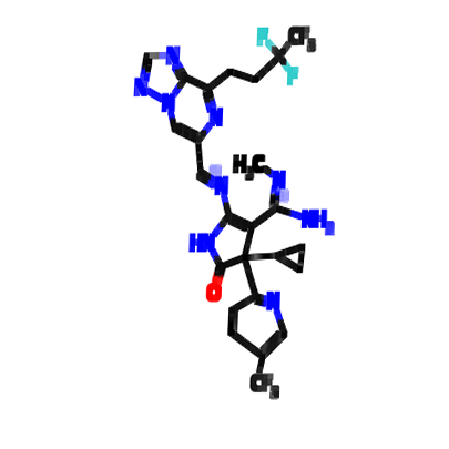 C/N=C(/N)C1=C(/N=C/c2cn3ncnc3c(CCC(F)(F)C(F)(F)F)n2)NC(=O)C1(c1ccc(C(F)(F)F)cn1)C1CC1